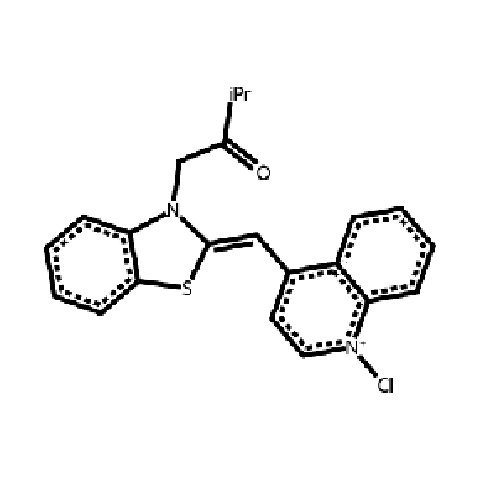 CC(C)C(=O)CN1/C(=C/c2cc[n+](Cl)c3ccccc23)Sc2ccccc21